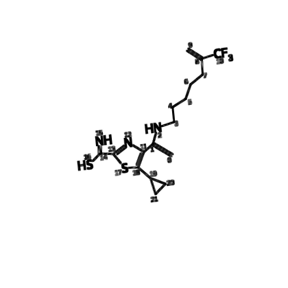 C=C(NCCCCCC(=C)C(F)(F)F)c1nc(C(=N)S)sc1C1CC1